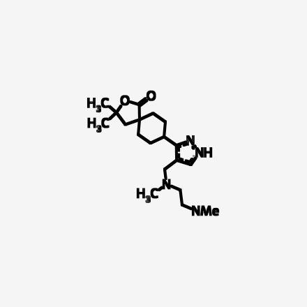 CNCCN(C)Cc1c[nH]nc1C1CCC2(CC1)CC(C)(C)OC2=O